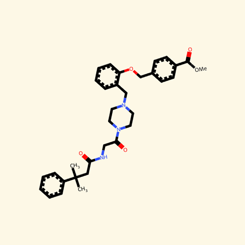 COC(=O)c1ccc(COc2ccccc2CN2CCN(C(=O)CNC(=O)CC(C)(C)c3ccccc3)CC2)cc1